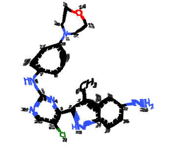 Cc1c(-c2nc(Nc3ccc(N4CCOCC4)cc3)ncc2Cl)[nH]c2ccc(N)cc12